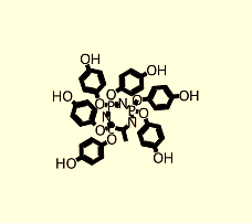 CC1N=P(Oc2ccc(O)cc2)(Oc2ccc(O)cc2)N=P(Oc2ccc(O)cc2)(Oc2ccc(O)cc2)N=P1(Oc1ccc(O)cc1)Oc1ccc(O)cc1